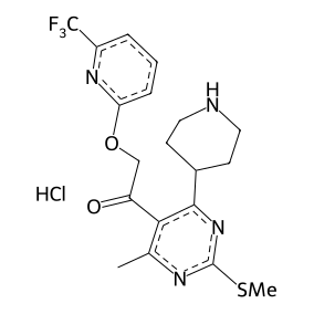 CSc1nc(C)c(C(=O)COc2cccc(C(F)(F)F)n2)c(C2CCNCC2)n1.Cl